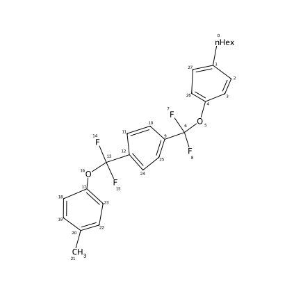 CCCCCCc1ccc(OC(F)(F)c2ccc(C(F)(F)Oc3ccc(C)cc3)cc2)cc1